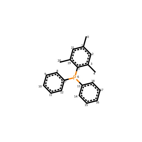 Cc1cc(C)c(P(c2ccccc2)c2ccccc2)c(C)c1